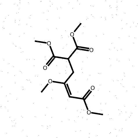 COC(=O)/C=C(\CC(C(=O)OC)C(=O)OC)OC